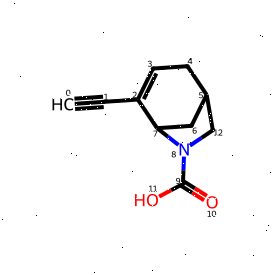 C#CC1=CCC2CC1N(C(=O)O)C2